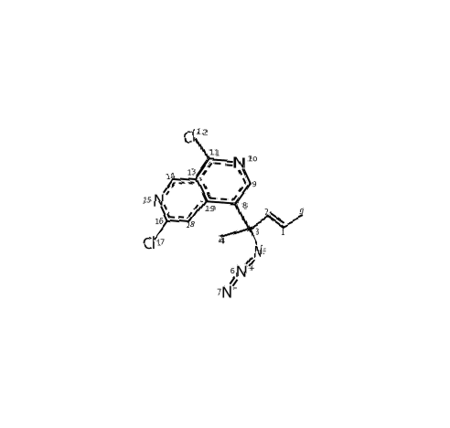 CC=CC(C)(N=[N+]=[N-])c1cnc(Cl)c2cnc(Cl)cc12